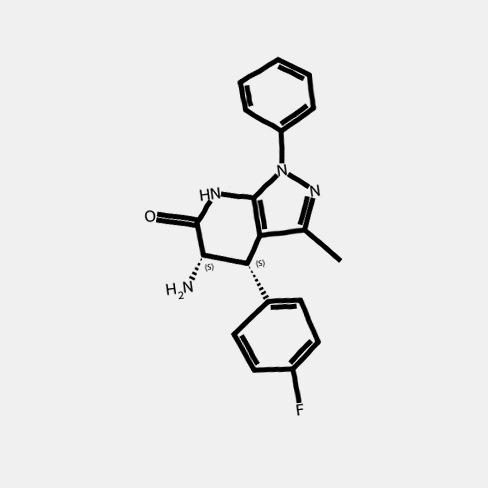 Cc1nn(-c2ccccc2)c2c1[C@H](c1ccc(F)cc1)[C@H](N)C(=O)N2